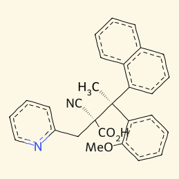 COc1ccccc1[C@](C)(c1cccc2ccccc12)[C@](C#N)(Cc1ccccn1)C(=O)O